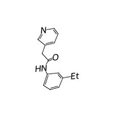 CCc1cccc(NC(=O)Cc2cccnc2)c1